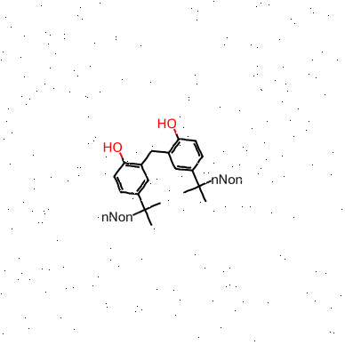 CCCCCCCCCC(C)(C)c1ccc(O)c(Cc2cc(C(C)(C)CCCCCCCCC)ccc2O)c1